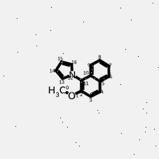 COc1ccc2ccccc2c1-n1cccc1